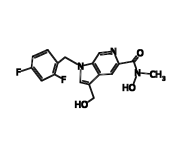 CN(O)C(=O)c1cc2c(CO)cn(Cc3ccc(F)cc3F)c2cn1